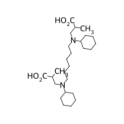 CC(CN(CCCCCCN(CC(C)C(=O)O)C1CCCCC1)C1CCCCC1)C(=O)O